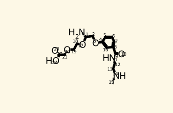 NC(COc1cccc(C(=O)NCCNI)c1)OCCOCC(=O)O